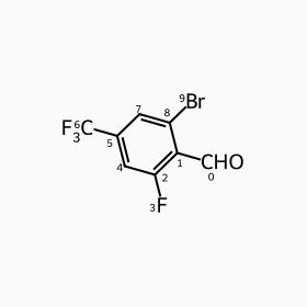 O=Cc1c(F)cc(C(F)(F)F)cc1Br